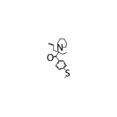 C=CCC(CC)(C(=O)c1ccc(SC)cc1)N1CCCCC1